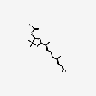 CC(=O)OC/C=C(\C)CC/C=C(\C)C1C=C(OC(=O)C(C)(C)C)C(C)(C)O1